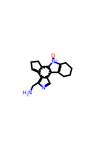 NCC1=c2c(c3c(c4c2=CCC4)[N+](=O)C2=C3CCCC2)C=N1